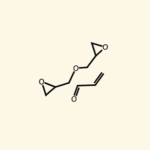 C(OCC1CO1)C1CO1.C=CC=O